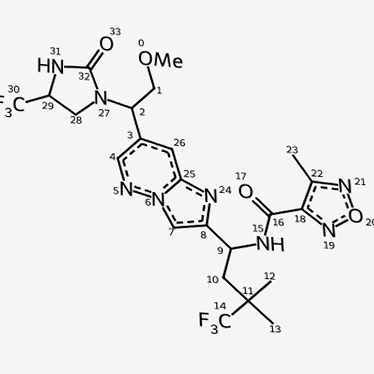 COCC(c1cnn2cc(C(CC(C)(C)C(F)(F)F)NC(=O)c3nonc3C)nc2c1)N1CC(C(F)(F)F)NC1=O